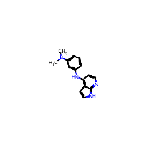 CN(C)c1cccc(Nc2ccnc3[nH]ccc23)c1